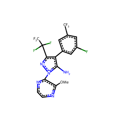 COc1nccnc1-n1nc(C(F)(F)C(F)(F)F)c(-c2cc(F)cc(C(F)(F)F)c2)c1N